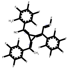 C/C(=C1C(=C(/C=N/F)c2c(F)c(F)c(F)c(F)c2F)C\1=C(\C#N)c1c(C)c(F)c(F)c(F)c1F)c1c(F)c(F)c(F)c(F)c1F